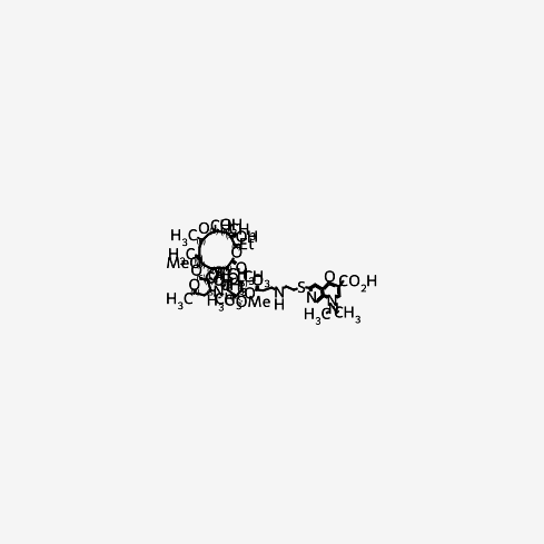 CC[C@H]1OC(=O)[C@H](C)[C@@H](O[C@H]2C[C@@](C)(OC)[C@@H](OC(=O)CCNCCSc3cc4c(=O)c(C(=O)O)cn(N(C)C)c4cn3)[C@H](C)O2)[C@H](C)[C@@H](O[C@@H]2O[C@H](C)C[C@H](N(C)C)[C@H]2O)[C@](C)(OC)C[C@@H](C)C(=O)[C@@H](C)[C@@H](O)[C@]1(C)O